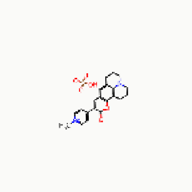 C[n+]1ccc(-c2cc3cc4c5c(c3oc2=O)CCCN5CCC4)cc1.O=S(=O)([O-])O